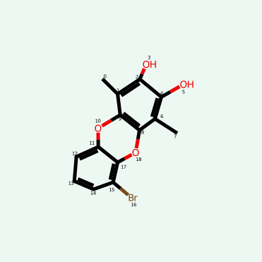 Cc1c(O)c(O)c(C)c2c1Oc1cccc(Br)c1O2